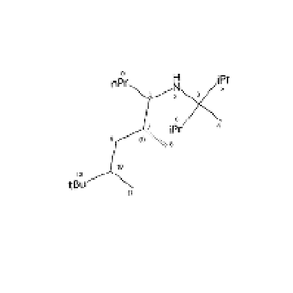 CCCC(NC(C)(C(C)C)C(C)C)[C@H](C)CC(C)C(C)(C)C